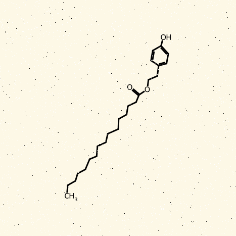 CCCCCCCCCCCCCCCC(=O)OCCc1ccc(O)cc1